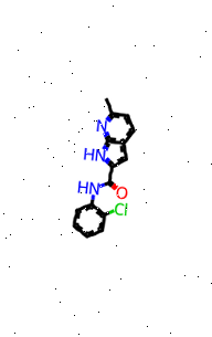 Cc1ccc2cc(C(=O)Nc3ccccc3Cl)[nH]c2n1